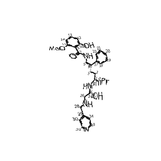 CCC[C@H](CC[C@H](CNC(=O)c1c(O)cccc1OC)c1ccccc1)N[C@H](O)CNCc1ccncc1